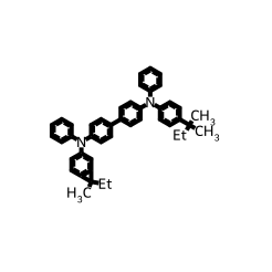 CCC(C)(C)c1ccc(N(c2ccccc2)c2ccc(-c3ccc(N(c4ccccc4)c4ccc5c(c4)C5(C)CC)cc3)cc2)cc1